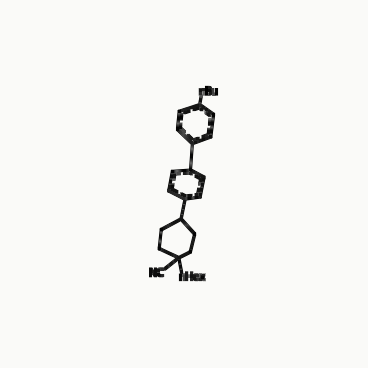 CCCCCCC1(C#N)CCC(c2ccc(-c3ccc(CCCC)cc3)cc2)CC1